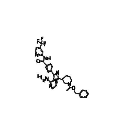 C=C(OCc1ccccc1)N1CCCC(c2nc(-c3ccc(C(=O)Nc4cc(C(F)(F)F)ccn4)cc3)c3c(N)nccn23)C1